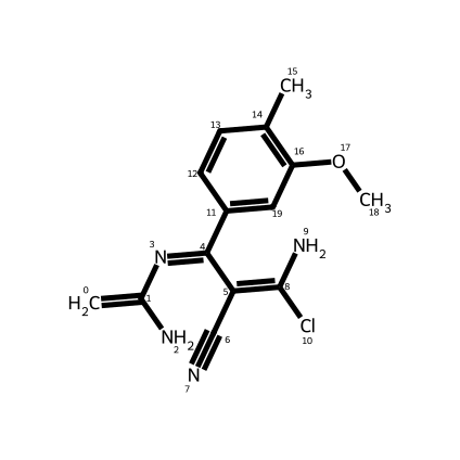 C=C(N)/N=C(\C(C#N)=C(/N)Cl)c1ccc(C)c(OC)c1